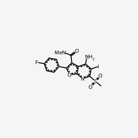 CNC(=O)c1c(-c2ccc(F)cc2)oc2nc(S(C)(=O)=O)c(I)c(N)c12